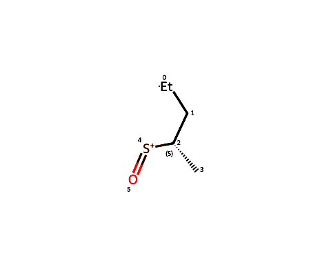 C[CH]C[C@H](C)[S+]=O